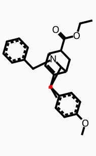 CCOC(=O)C1CC2C(CC)=CC1N(Cc1ccccc1)C2Cc1ccc(OC)cc1